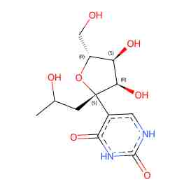 CC(O)C[C@@]1(c2c[nH]c(=O)[nH]c2=O)O[C@H](CO)[C@@H](O)[C@H]1O